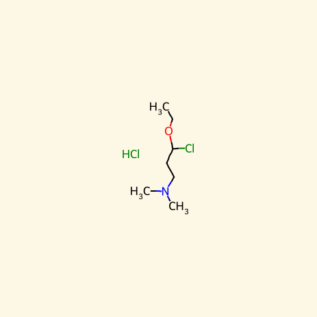 CCOC(Cl)CCN(C)C.Cl